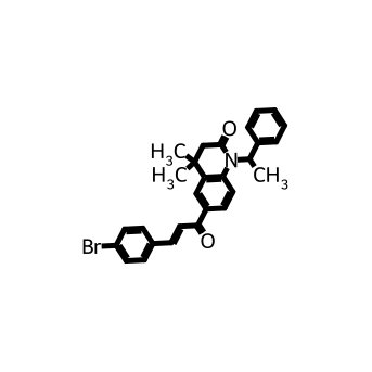 CC(c1ccccc1)N1C(=O)CC(C)(C)c2cc(C(=O)C=Cc3ccc(Br)cc3)ccc21